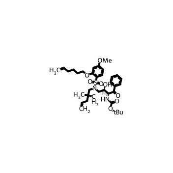 C=CCCCCOc1cc(OC)ccc1S(=O)(=O)N(C[C@@H](O)[C@@H](NC(=O)OC(C)(C)C)C(=O)c1ccccc1)CC(C)(C)CC=C